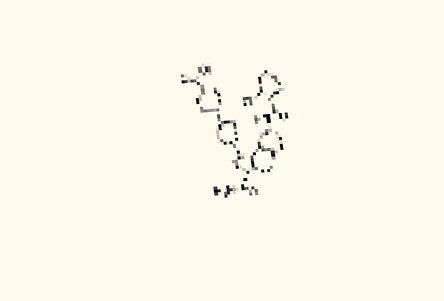 NC(=O)c1nn(-c2ccc(-c3ccc(C(=O)O)cc3)cc2)c2c1CCc1ccc(NC(=O)c3ccccc3Cl)cc1-2